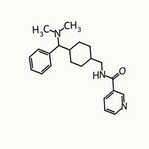 CN(C)C(c1ccccc1)C1CCC(CNC(=O)c2cccnc2)CC1